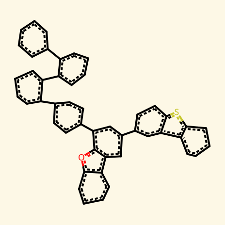 c1ccc(-c2ccccc2-c2ccccc2-c2ccc(-c3cc(-c4ccc5sc6ccccc6c5c4)cc4c3oc3ccccc34)cc2)cc1